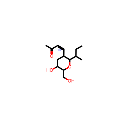 CCC(C)C1OC(CO)C(O)CC1/C=C\C(C)=O